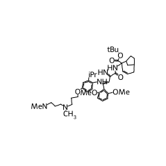 CNCCCN(C)CCCOc1ccc(N/C(=C\C(=N)C(=O)NC2(C(=O)OC(C)(C)C)C=CCC3CCC2C3)c2c(OC)cccc2OC)c(C(C)C)c1